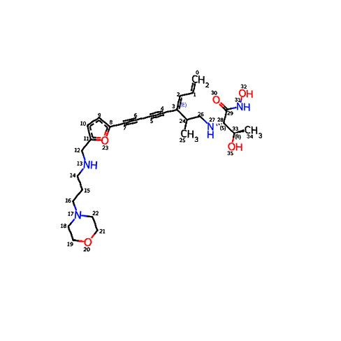 C=C/C=C(/C#CC#Cc1ccc(CNCCCN2CCOCC2)o1)C(C)CN[C@H](C(=O)NO)[C@@H](C)O